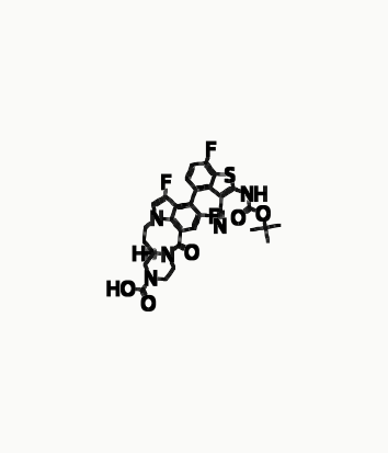 CC(C)(C)OC(=O)Nc1sc2c(F)ccc(-c3c(F)cc4c5c3c(F)cn5CC[C@H]3CN(C(=O)O)CCN3C4=O)c2c1C#N